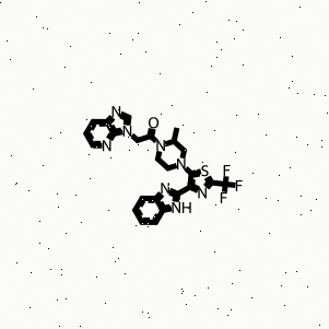 CC1CN(c2sc(C(F)(F)F)nc2-c2nc3ccccc3[nH]2)CCN1C(=O)Cn1cnc2cccnc21